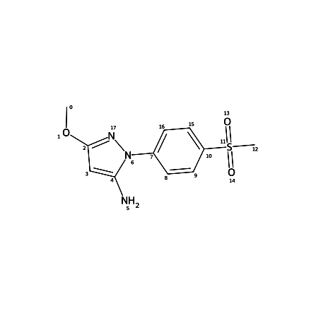 COc1cc(N)n(-c2ccc(S(C)(=O)=O)cc2)n1